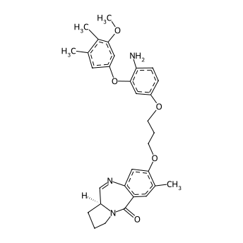 COc1cc(Oc2cc(OCCCOc3cc4c(cc3C)C(=O)N3CCC[C@H]3C=N4)ccc2N)cc(C)c1C